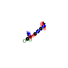 CC(=O)C(C)N1C(=O)N(c2ccc(N3CCN(c4ccc(OC[C@@H]5CO[C@@](Cn6cncn6)(c6ccc(Cl)cc6Cl)O5)cc4)CC3)cc2)C(=O)C1(C)C